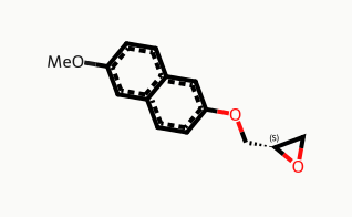 COc1ccc2cc(OC[C@@H]3CO3)ccc2c1